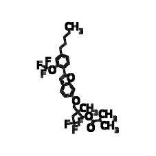 CCCCCc1ccc(-c2cc3ccc(OCC(C)(COC(=O)C(C)C)CC(F)(F)F)cc3o2)c(OC(F)(F)F)c1